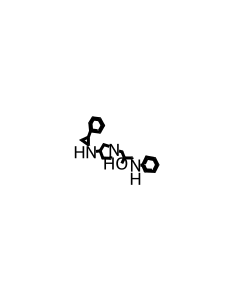 OC(CNc1ccccc1)CN1CCC(NC2CC2c2ccccc2)CC1